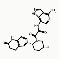 C[C@H]1CC[C@H](c2ccc3c(c2)CCC(=O)N3)N(C(=O)C(=O)Nc2cnc(N)c3cn[nH]c23)C1